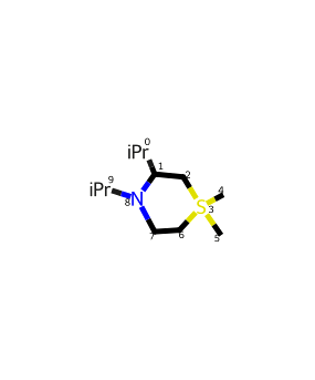 CC(C)C1CS(C)(C)CCN1C(C)C